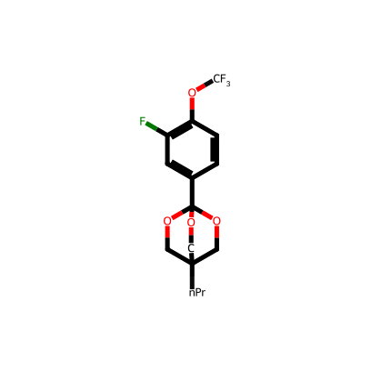 CCCC12COC(c3ccc(OC(F)(F)F)c(F)c3)(OC1)OC2